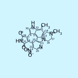 Cc1cccc2c(C3=C(c4cc(N5CCN(C)CC5)ncc4[N+](=O)[O-])C(=O)NC3=O)c[nH]c12